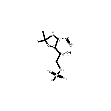 CC1(C)O[C@H]([C@H](O)COS(C)(=O)=O)[C@@H](C=N)O1